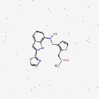 CN(Sc1ccsc1C[S+](C)[O-])c1cccc2cc(-c3nccs3)[nH]c12